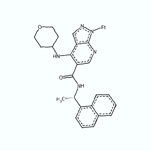 CCn1ncc2c(NC3CCOCC3)c(C(=O)N[C@@H](C)c3cccc4ccccc34)cnc21